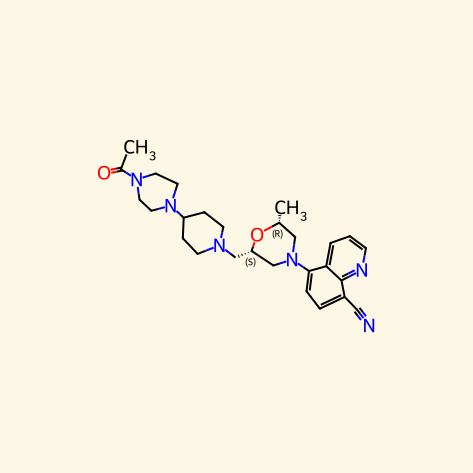 CC(=O)N1CCN(C2CCN(C[C@H]3CN(c4ccc(C#N)c5ncccc45)C[C@@H](C)O3)CC2)CC1